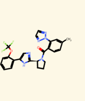 Cc1ccc(C(=O)N2CCC[C@H]2c2ncc(-c3ccccc3OC(F)(F)F)[nH]2)c(-n2nccn2)c1